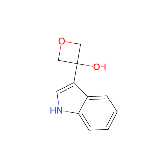 OC1(c2c[nH]c3ccccc23)COC1